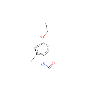 CCOc1ccc(NC(C)=O)c(C)c1